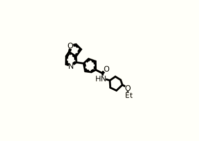 CCOC1CCC(NC(=O)c2ccc(-c3nccc4occc34)cc2)CC1